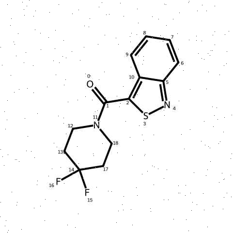 O=C(c1snc2ccccc12)N1C[CH]C(F)(F)CC1